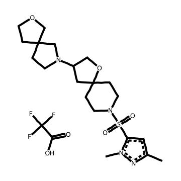 Cc1cc(S(=O)(=O)N2CCC3(CC2)CC(N2CCC4(CCOC4)C2)CO3)n(C)n1.O=C(O)C(F)(F)F